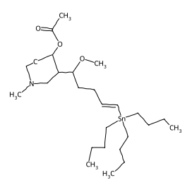 CCC[CH2][Sn](/[CH]=C/CCC(OC)C1CN(C)CCC1OC(C)=O)([CH2]CCC)[CH2]CCC